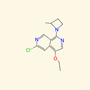 CCOc1cnc(N2CCC2C)c2cnc(Cl)cc12